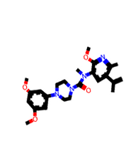 C=C(C)c1cc(N(C)C(=O)N2CCN(c3cc(OC)cc(OC)c3)CC2)c(OC)nc1C